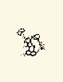 C#Cc1c(F)ccc2cc(O)cc(-c3ncc4c(N5CC6CCC(CNS(N)(=O)=O)(C5)N6)nc(OC[C@@]56CCCN5C[C@H](F)C6)nc4c3F)c12